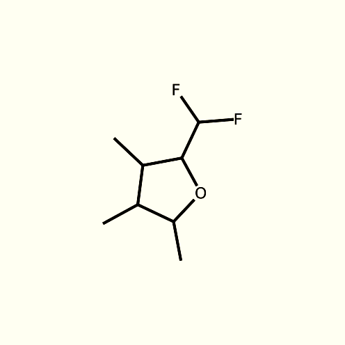 CC1OC(C(F)F)C(C)C1C